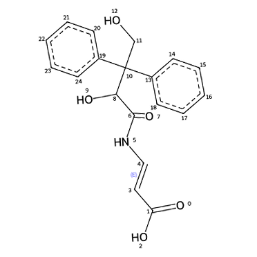 O=C(O)/C=C/NC(=O)C(O)C(CO)(c1ccccc1)c1ccccc1